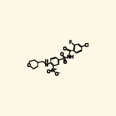 O=C(NS(=O)(=O)c1ccc(NCC2CCOCC2)c([N+](=O)[O-])c1)c1ccc(Cl)cc1F